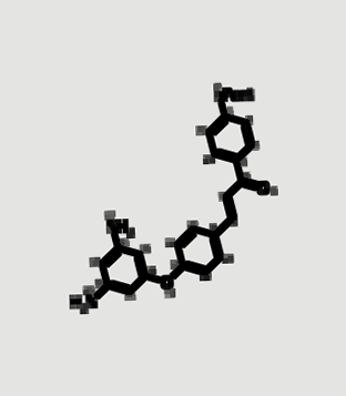 CCCCCc1ccc(C(=O)C=Cc2ccc(Oc3cc(N)cc(N)c3)cc2)cc1